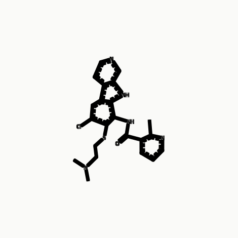 Cc1ncccc1C(=O)Nc1c(SCCN(C)C)c(Cl)cc2c1[nH]c1cnccc12